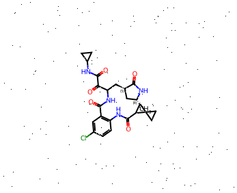 C[C@@H]1C[C@@H](CC(NC(=O)c2cc(Cl)ccc2NC(=O)C2CC23CC3)C(=O)C(=O)NC2CC2)C(=O)N1